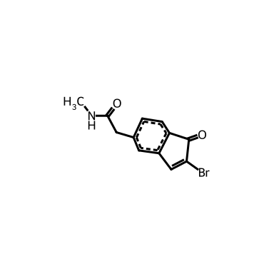 CNC(=O)Cc1ccc2c(c1)C=C(Br)C2=O